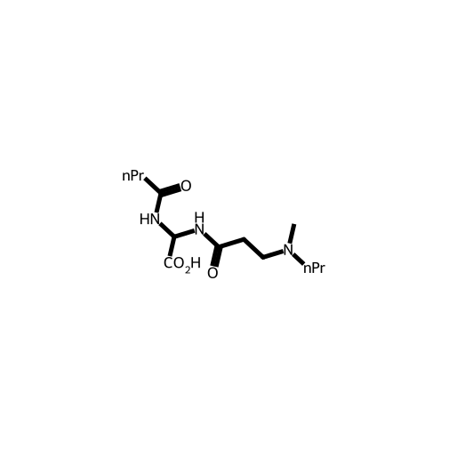 CCCC(=O)NC(NC(=O)CCN(C)CCC)C(=O)O